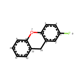 Fc1[c]c2c(cc1)Oc1ccccc1C2